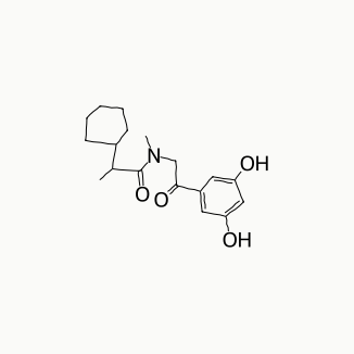 CC(C(=O)N(C)CC(=O)c1cc(O)cc(O)c1)C1CCCCC1